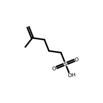 C=C(C)CCCS(=O)(=O)O